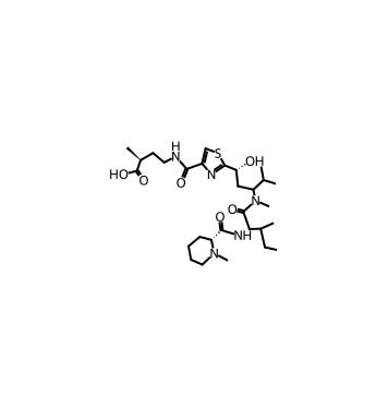 CCC(C)[C@H](NC(=O)[C@H]1CCCCN1C)C(=O)N(C)C(C[C@@H](O)c1nc(C(=O)NCC[C@H](C)C(=O)O)cs1)C(C)C